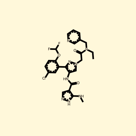 CCN(Cc1cccnc1)C(=O)Cn1cc(NC(=O)c2cn[nH]c2NC)c(-c2cc(Cl)ccc2OC(F)F)n1